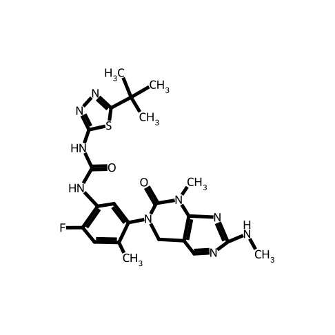 CNc1ncc2c(n1)N(C)C(=O)N(c1cc(NC(=O)Nc3nnc(C(C)(C)C)s3)c(F)cc1C)C2